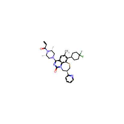 C=CC(=O)N1[C@H](C)CN(c2nc(=O)n3c4c(c(C5CCC(F)(F)CC5)c(C(F)(F)F)cc24)SC[C@@H](c2ccccn2)C3)C[C@@H]1C